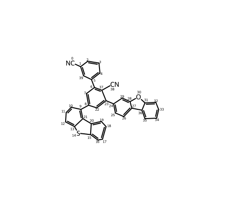 N#Cc1cccc(-c2cc(-c3cccc4sc5ccccc5c34)cc(-c3ccc4c(c3)oc3ccccc34)c2C#N)c1